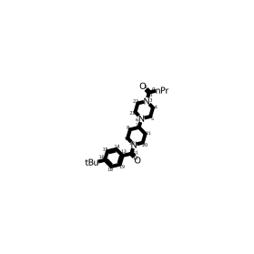 CCCC(=O)N1CCN(C2CCN(C(=O)c3ccc(C(C)(C)C)cc3)CC2)CC1